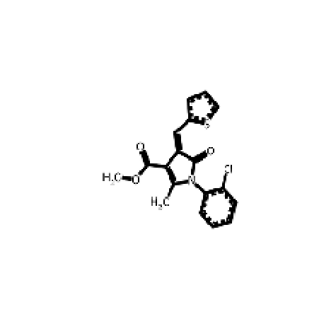 COC(=O)C1=C(C)N(c2ccccc2Cl)C(=O)/C1=C\c1cccs1